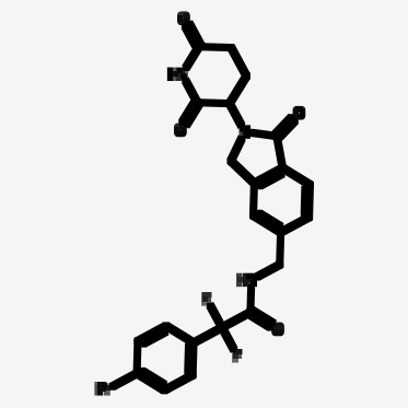 CC(C)c1ccc(C(F)(F)C(=O)NCc2ccc3c(c2)CN(C2CCC(=O)NC2=O)C3=O)cc1